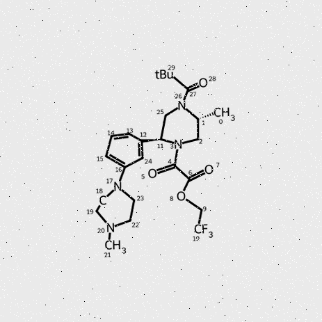 C[C@@H]1CN(C(=O)C(=O)OCC(F)(F)F)[C@@H](c2cccc(N3CCN(C)CC3)c2)CN1C(=O)C(C)(C)C